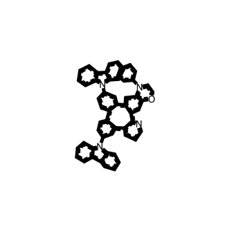 c1ccc(-n2ccoc3cc4c(cc32)c2cc(-n3c5ccccc5c5ccccc53)ccc2c2ccc(-n3c5ccccc5c5ccccc53)cc2c2cccnc24)cc1